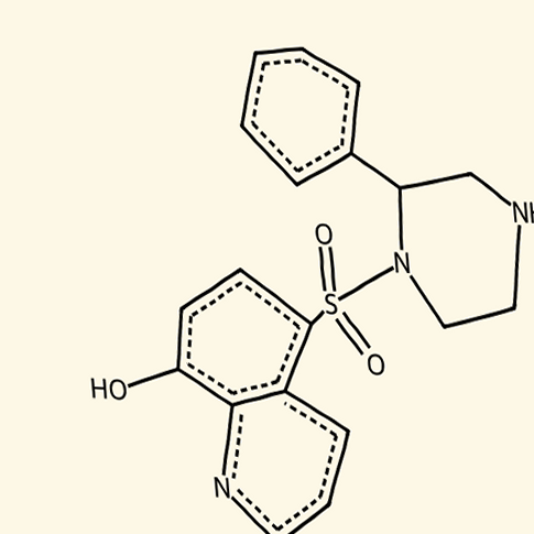 O=S(=O)(c1ccc(O)c2ncccc12)N1CCNCC1c1ccccc1